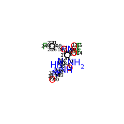 NC(=O)c1c(-c2ccc(NS(=O)(=O)C(F)F)c(OCCc3ccc(F)cc3)c2)n[nH]c1Nc1cc2n(n1)CCOC2